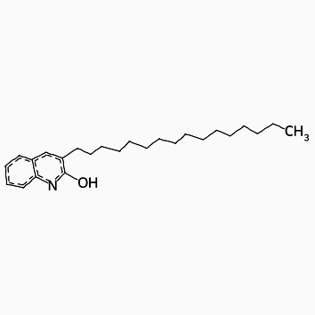 CCCCCCCCCCCCCCCCc1cc2ccccc2nc1O